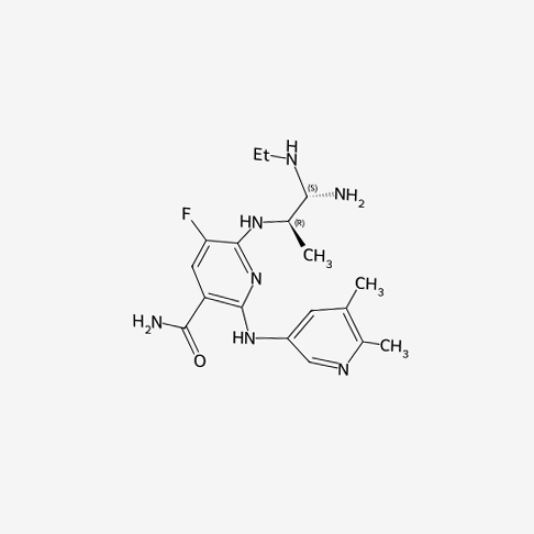 CCN[C@H](N)[C@@H](C)Nc1nc(Nc2cnc(C)c(C)c2)c(C(N)=O)cc1F